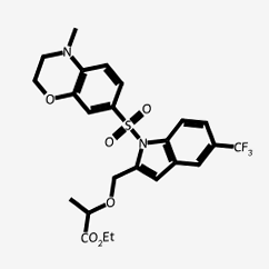 CCOC(=O)C(C)OCc1cc2cc(C(F)(F)F)ccc2n1S(=O)(=O)c1ccc2c(c1)OCCN2C